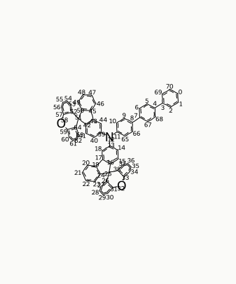 c1ccc(-c2ccc(-c3ccc(N(c4ccc5c(c4)-c4ccccc4C54c5ccccc5Oc5ccccc54)c4ccc5c(c4)-c4ccccc4C54c5ccccc5Oc5ccccc54)cc3)cc2)cc1